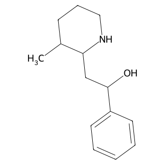 CC1CCCNC1CC(O)c1ccccc1